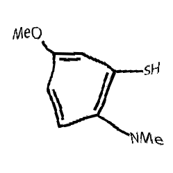 CNc1ccc(OC)cc1S